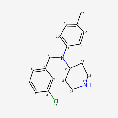 Cc1ccc(N(Cc2cccc(Cl)c2)C2CCNCC2)cc1